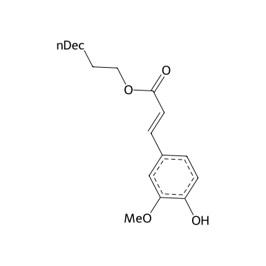 CCCCCCCCCCCCOC(=O)C=Cc1ccc(O)c(OC)c1